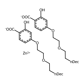 CCCCCCCCCCCCOCCOc1ccc(C(=O)[O-])c(O)c1.CCCCCCCCCCCCOCCOc1ccc(C(=O)[O-])c(O)c1.[Zn+2]